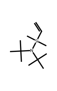 C=C[Si](C)(C)N(C(C)(C)C)C(C)(C)C